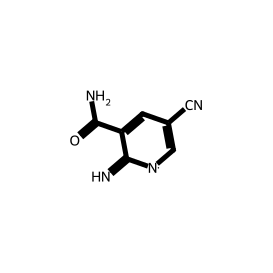 N#CC1=C[N]C(=N)C(C(N)=O)=C1